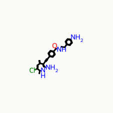 C=C1C=C(Cl)C(C)NC(N)=C1C#Cc1ccc(C(=O)NCCc2ccc(N)cc2)cc1